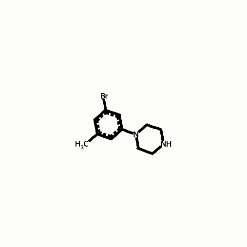 Cc1cc(Br)cc(N2[CH]CNCC2)c1